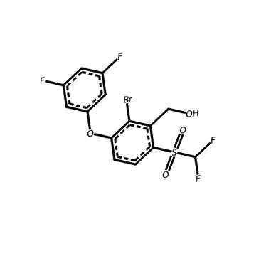 O=S(=O)(c1ccc(Oc2cc(F)cc(F)c2)c(Br)c1CO)C(F)F